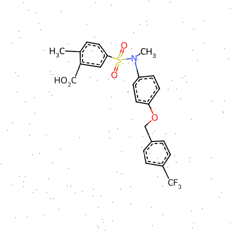 Cc1ccc(S(=O)(=O)N(C)c2ccc(OCc3ccc(C(F)(F)F)cc3)cc2)cc1C(=O)O